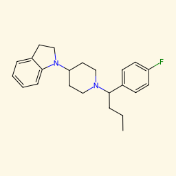 CCCC(c1ccc(F)cc1)N1CCC(N2CCc3ccccc32)CC1